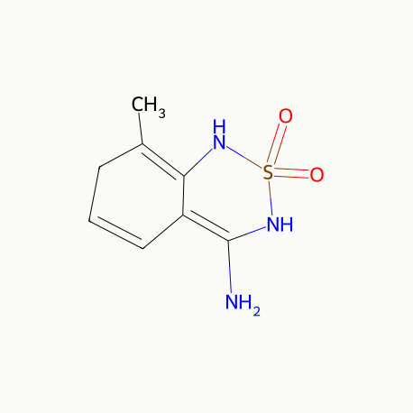 CC1=C2NS(=O)(=O)NC(N)=C2C=CC1